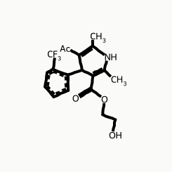 CC(=O)C1=C(C)NC(C)=C(C(=O)OCCO)C1c1ccccc1C(F)(F)F